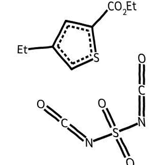 CCOC(=O)c1cc(CC)cs1.O=C=NS(=O)(=O)N=C=O